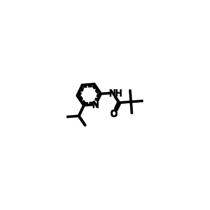 CC(C)c1cccc(NC(=O)C(C)(C)C)n1